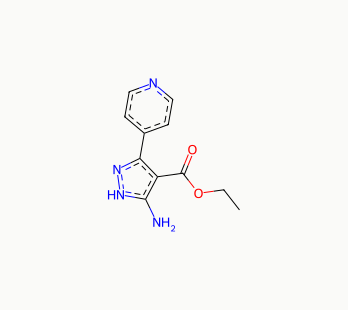 CCOC(=O)c1c(-c2ccncc2)n[nH]c1N